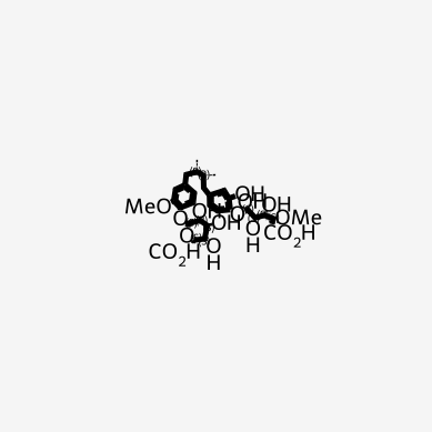 COc1cc(C[C@H](C)[C@H](C)Cc2ccc(O[C@H](O)[C@@H](O)[C@H](O)[C@H](OC)C(=O)O)c(O)c2)ccc1O[C@@H]1O[C@H](C(=O)O)[C@@H](O)[C@H](O)[C@H]1O